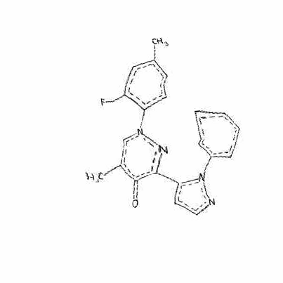 Cc1ccc(-n2cc(C)c(=O)c(-c3ccnn3-c3ccccc3)n2)c(F)c1